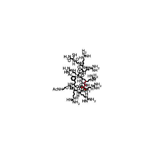 CC(=O)NCCOCC(=O)NC(Cc1ccc(C(C)=O)cc1)C(=O)N[C@H](CCCNC(=N)N)C(=O)N[C@H](CCCNC(=N)N)C(=O)N[C@H](CCCNC(=N)N)C(=O)N[C@H](CCCNC(=N)N)C(=O)N[C@H](CCCNC(=N)N)C(=O)N[C@H](CCCNC(=N)N)C(=O)N[C@H](CCCNC(=N)N)C(=O)N[C@H](CCCNC(=N)N)C(=O)NCC(=O)N[C@H](CS)C(N)=O